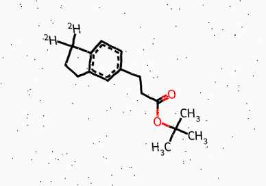 [2H]C1([2H])CCc2cc(CCC(=O)OC(C)(C)C)ccc21